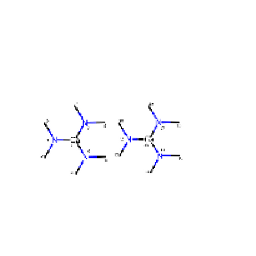 C[N](C)[Ga]([N](C)C)[N](C)C.C[N](C)[Ga]([N](C)C)[N](C)C